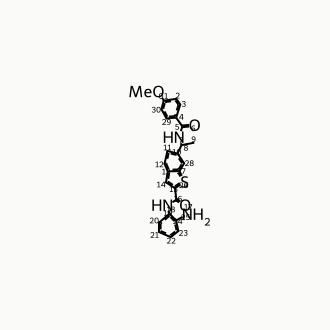 COc1ccc(C(=O)NC(C)c2ccc3cc(C(=O)Nc4ccccc4N)sc3c2)cc1